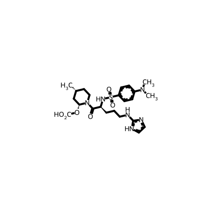 C[C@@H]1CCN(C(=O)[C@H](CCCNc2ncc[nH]2)NS(=O)(=O)c2ccc(N(C)C)cc2)[C@H](OC(=O)O)C1